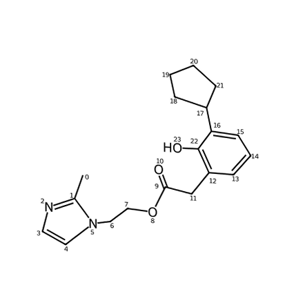 Cc1nccn1CCOC(=O)Cc1cccc(C2CCCC2)c1O